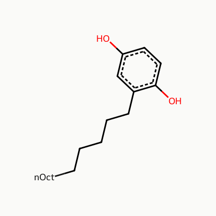 CCCCCCCCCCCCCc1cc(O)ccc1O